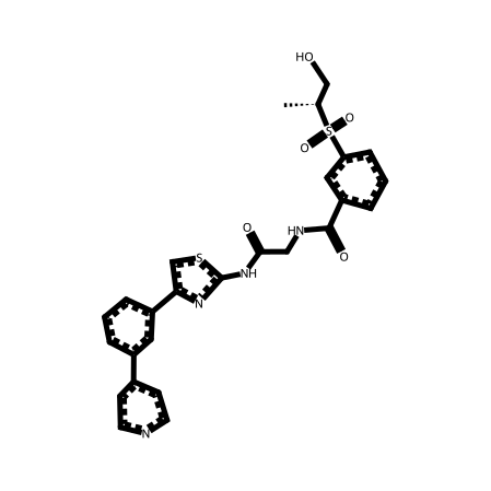 C[C@H](CO)S(=O)(=O)c1cccc(C(=O)NCC(=O)Nc2nc(-c3cccc(-c4ccncc4)c3)cs2)c1